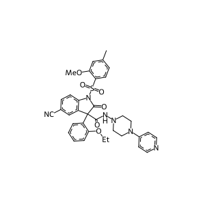 CCOc1ccccc1C1(C(=O)NN2CCN(c3ccncc3)CC2)C(=O)N(S(=O)(=O)c2ccc(C)cc2OC)c2ccc(C#N)cc21